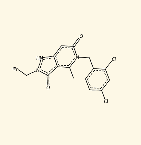 Cc1c2c(=O)n(CC(C)C)[nH]c2cc(=O)n1Cc1ccc(Cl)cc1Cl